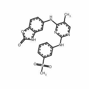 Cc1cnc(Nc2cccc(S(C)(=O)=O)c2)nc1Nc1ccc2oc(=O)[nH]c2c1